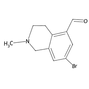 CN1CCc2c(C=O)cc(Br)cc2C1